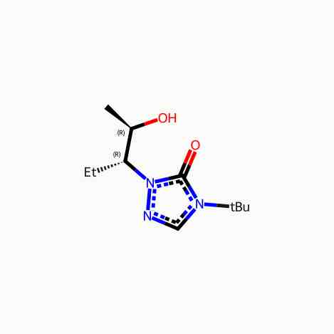 CC[C@H]([C@@H](C)O)n1ncn(C(C)(C)C)c1=O